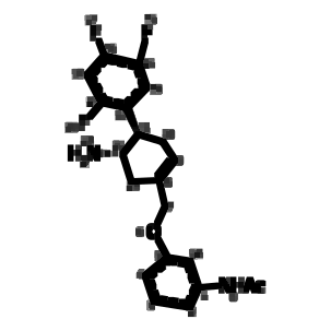 CC(=O)Nc1cccc(OCC2=CC[C@H](c3cc(F)c(F)cc3F)[C@@H](N)C2)c1